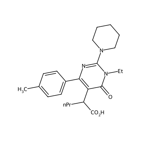 CCCC(C(=O)O)c1c(-c2ccc(C)cc2)nc(N2CCCCC2)n(CC)c1=O